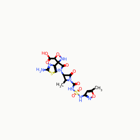 Cc1cc(NS(=O)(=O)NC(=O)N2C(=O)C(NC(=O)C3(c4csc(N)n4)NOC3C(=O)O)C2C)no1